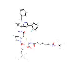 CC(C)(C)OC(=O)NCCCCCC(=O)N[C@@H](CSCC(=O)N(C[C@@H]1CN(C(=O)OCC[Si](C)(C)C)C[C@@H]1F)[C@@H](c1cc(-c2cc(F)ccc2F)cn1Cc1ccccc1)C(C)(C)C)C(=O)O